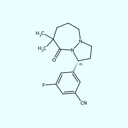 CC1(C)CCCN2CC[C@H](c3cc(F)cc(C#N)c3)N2C1=O